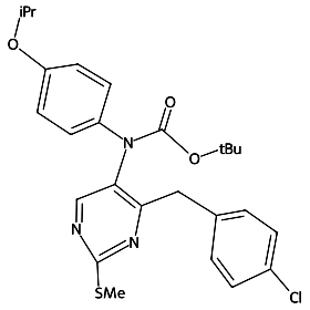 CSc1ncc(N(C(=O)OC(C)(C)C)c2ccc(OC(C)C)cc2)c(Cc2ccc(Cl)cc2)n1